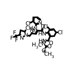 COC(=O)N(C)NC(=O)C1=C(NC(=O)c2cc(CN3N=C(C(F)(F)F)CC3C)nn2-c2ncccc2Cl)C(Cl)=CC(Cl)C1